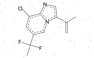 C=C(C)c1cnc2c(Cl)cc(C(C)(F)F)cn12